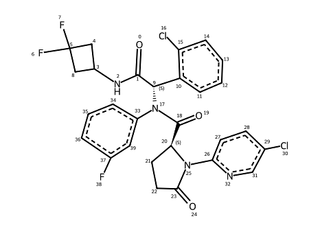 O=C(NC1CC(F)(F)C1)[C@H](c1ccccc1Cl)N(C(=O)[C@@H]1CCC(=O)N1c1ccc(Cl)cn1)c1cccc(F)c1